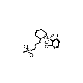 Cc1cccc(Cl)c1S(=O)(=O)N1CCCCC1CCCS(C)(=O)=O